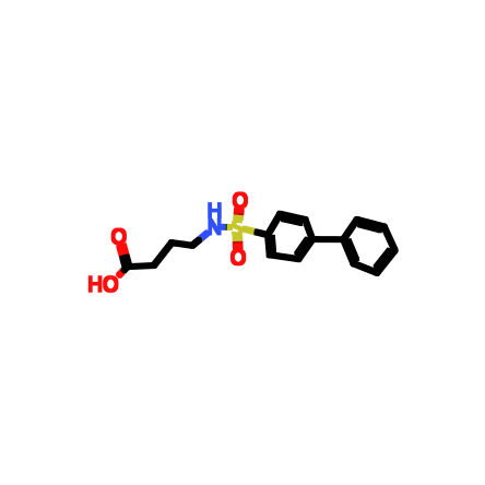 O=C(O)CCCNS(=O)(=O)c1ccc(-c2ccccc2)cc1